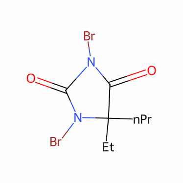 CCCC1(CC)C(=O)N(Br)C(=O)N1Br